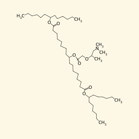 CCCCCCC(CCCCCC)OC(=O)CCCCCCCC(CCCCCCCC(=O)OC(CCCCCC)CCCCCC)OC(=O)COC(C)CN(C)C